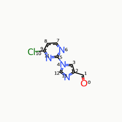 O=Cc1cn(-c2nccc(Cl)n2)cn1